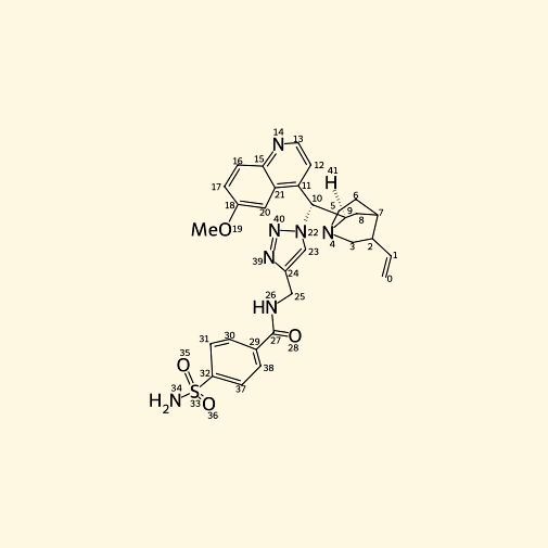 C=CC1CN2CCC1C[C@@H]2[C@@H](c1ccnc2ccc(OC)cc12)n1cc(CNC(=O)c2ccc(S(N)(=O)=O)cc2)nn1